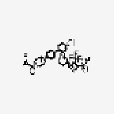 CCOC(=O)c1cnn(C2CCCN(c3cc(Cl)ccc3-c3ccc(N4CCN(C(=O)C5CC5F)CC4)cc3)C2)c1C(F)(F)F